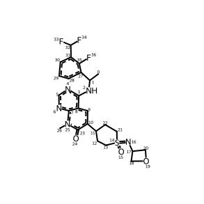 CC(Nc1ncnc2c1cc(C1CCS(=O)(=NC3COC3)CC1)c(=O)n2C)c1cccc(C(F)F)c1F